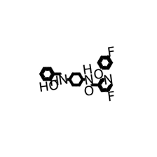 O=C(NC1CCC(NCc2ccccc2O)CC1)c1cc(F)cnc1Oc1ccc(F)cc1